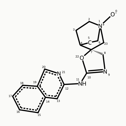 [O-][N+]12CCC(CC1)[C@@]1(CN=C(Nc3cc4ccccc4cn3)O1)C2